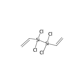 C=C[Si](Cl)(Cl)[Si](Cl)(Cl)C=C